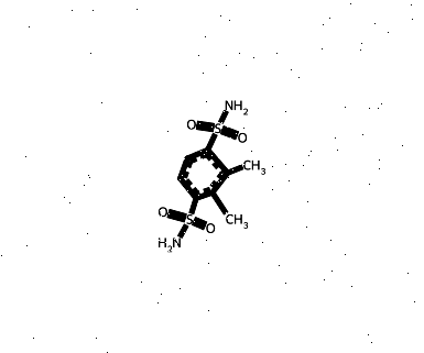 Cc1c(S(N)(=O)=O)ccc(S(N)(=O)=O)c1C